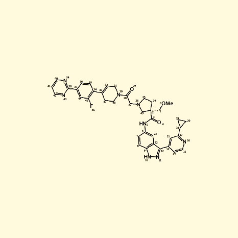 COC[C@@]1(C(=O)Nc2ccc3[nH]nc(-c4ccnc(C5CC5)c4)c3c2)CCN(CC(=O)N2CC=C(c3ccc(-c4ncccn4)cc3F)CC2)C1